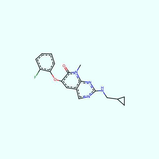 Cn1c(=O)c(Oc2ccccc2F)cc2cnc(NCC3CC3)nc21